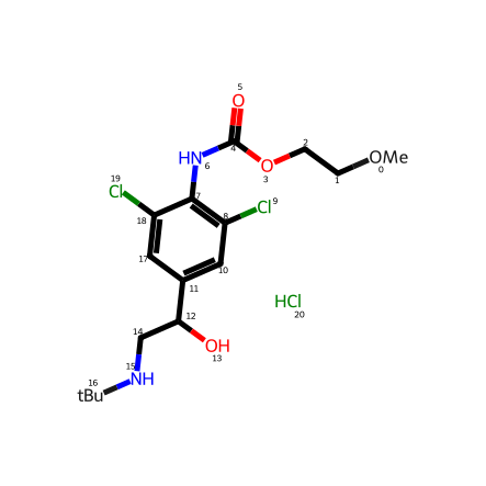 COCCOC(=O)Nc1c(Cl)cc(C(O)CNC(C)(C)C)cc1Cl.Cl